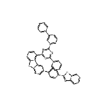 c1ccc(-c2cccc(-c3nc(-c4ccccc4)nc(-c4cccc5sc6ccc(-c7ccc(-c8nc9ccccc9o8)cc7)cc6c45)n3)c2)cc1